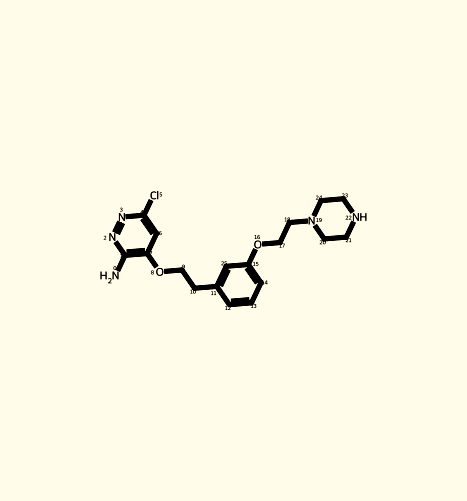 Nc1nnc(Cl)cc1OCCc1cccc(OCCN2CCNCC2)c1